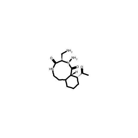 CC(=O)[C@@H]1CCCC2CCNC(=O)[C@@H](CN)N(N)C(=O)[C@@H]21